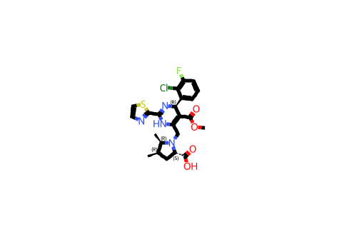 COC(=O)C1=C(CN2[C@H](C)[C@H](C)C[C@H]2C(=O)O)NC(c2nccs2)=N[C@H]1c1cccc(F)c1Cl